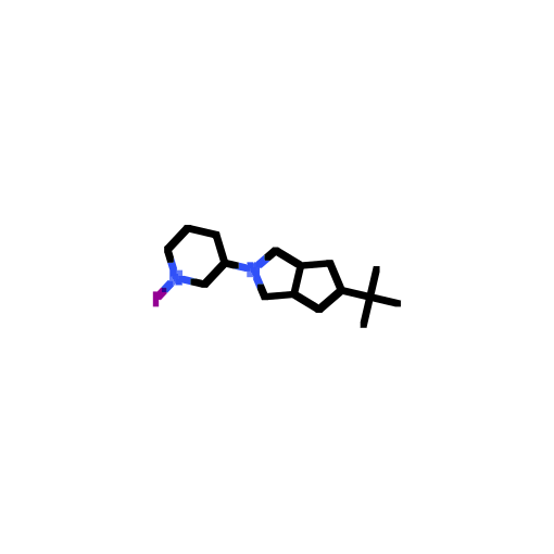 CC(C)(C)C1CC2CN(C3CCCN(I)C3)CC2C1